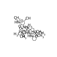 C#CCCC(NC(=O)[C@@H]1[C@@H]2[C@H](CN1C(=O)[C@@H](NC(=O)NC1(CS(=O)(=O)C(C)(C)C)CCCCC1)C1(C)CCCC1)C2(C)C)C(=O)C(=O)NCC=C